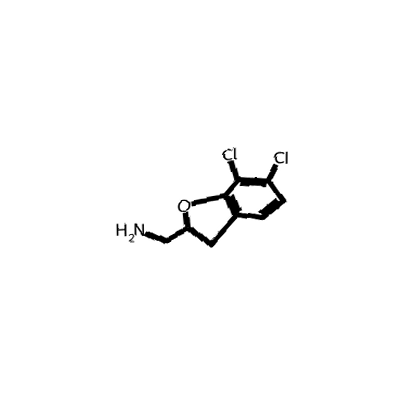 NCC1Cc2ccc(Cl)c(Cl)c2O1